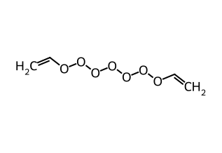 C=COOOOOOOC=C